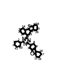 c1ccc(-c2nc(-c3ccc4c(c3)oc3ccccc34)nc(-c3cc4c5ccccc5sc4c4ccccc34)n2)cc1